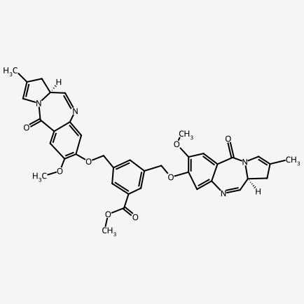 COC(=O)c1cc(COc2cc3c(cc2OC)C(=O)N2C=C(C)C[C@H]2C=N3)cc(COc2cc3c(cc2OC)C(=O)N2C=C(C)C[C@H]2C=N3)c1